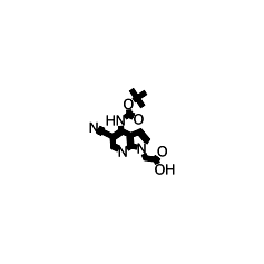 CC(C)(C)OC(=O)Nc1c(C#N)cnc2c1ccn2CC(=O)O